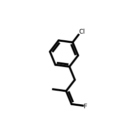 C/C(=C/F)Cc1cccc(Cl)c1